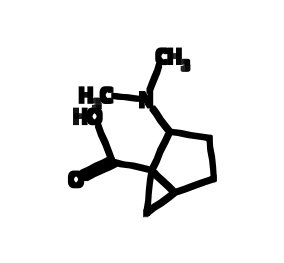 CN(C)C1CCC2CC21C(=O)O